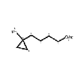 CC(=O)OCCCCC1(C(C)C)CC1